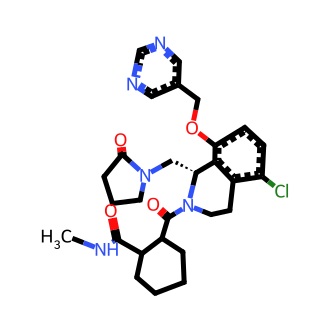 CNC(=O)C1CCCCC1C(=O)N1CCc2c(Cl)ccc(OCc3cncnc3)c2[C@H]1CN1CCCC1=O